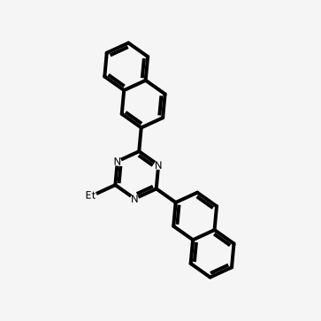 CCc1nc(-c2ccc3ccccc3c2)nc(-c2ccc3ccccc3c2)n1